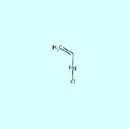 C=[CH][Hg][Cl]